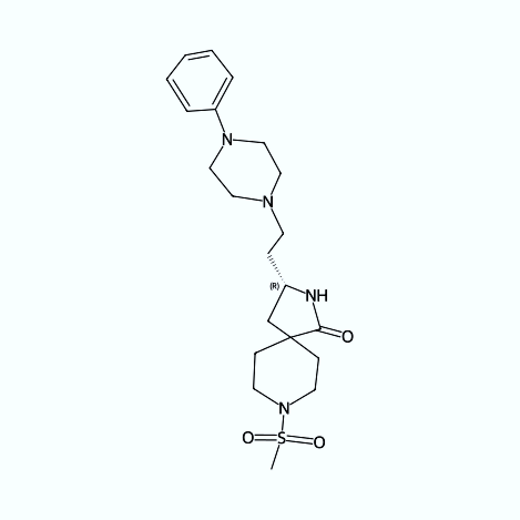 CS(=O)(=O)N1CCC2(CC1)C[C@H](CCN1CCN(c3ccccc3)CC1)NC2=O